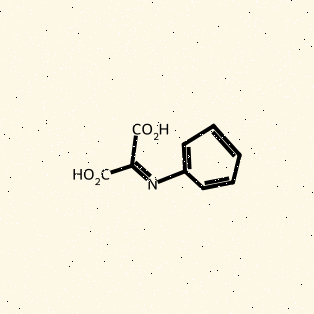 O=C(O)C(=Nc1ccccc1)C(=O)O